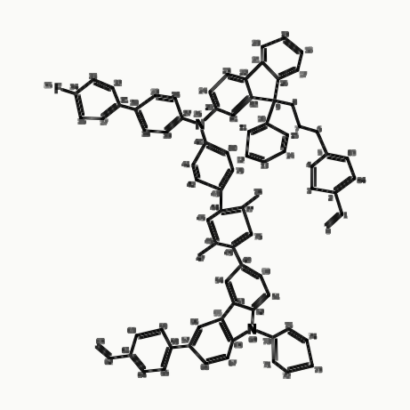 C=Cc1ccc(CCCC2(c3ccccc3)c3ccccc3-c3ccc(N(c4ccc(-c5ccc(F)cc5)cc4)c4ccc(-c5cc(C)c(-c6ccc7c(c6)c6cc(-c8ccc(C=C)cc8)ccc6n7-c6ccccc6)cc5C)cc4)cc32)cc1